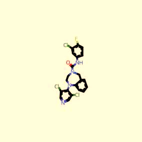 O=C(Nc1ccc(F)c(Cl)c1)N1CCN(c2c(Cl)cncc2Cl)c2ccccc2C1